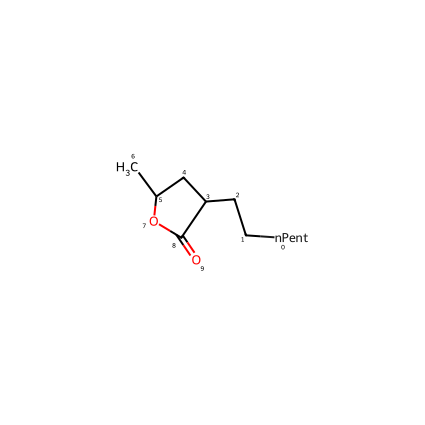 CCCCCCCC1CC(C)OC1=O